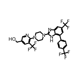 OCc1cnc(N2CCN(c3nc4cc(C(F)(F)F)cc(-c5ccc(C(F)(F)F)cc5)c4[nH]3)CC2)c(C(F)(F)F)c1